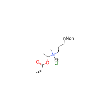 C=CC(=O)OC(C)[N+](C)(CC)CCCCCCCCCCCC.[Cl-]